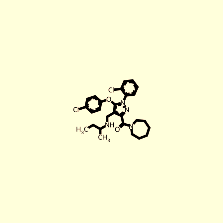 CCC(C)NCc1c(C(=O)N2CCCCCC2)nn(-c2ccccc2Cl)c1Oc1ccc(Cl)cc1